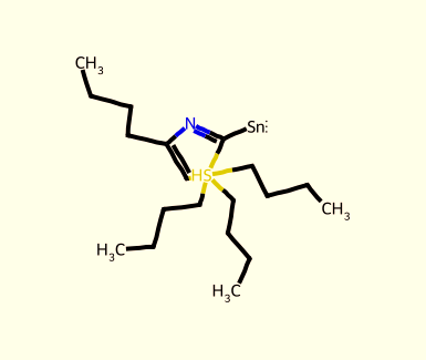 CCCCC1=C[SH](CCCC)(CCCC)(CCCC)[C]([Sn])=N1